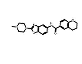 CN1CCN(c2nc3cc(NC(=O)c4ccc5c(c4)CCCO5)ccc3o2)CC1